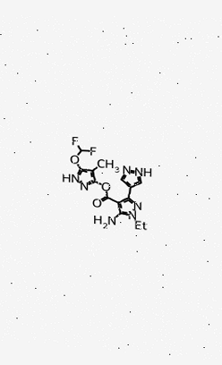 CCn1nc(-c2cn[nH]c2)c(C(=O)Oc2n[nH]c(OC(F)F)c2C)c1N